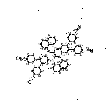 [C-]#[N+]c1ccc(-c2nc3c(nc2-c2ccc([N+]#[C-])cc2)N(c2cccc4ccccc24)c2nc4cc(-c5ccc(C#N)cc5)c(-c5ccc(C#N)cc5)cc4nc2N3c2cccc3ccccc23)cc1